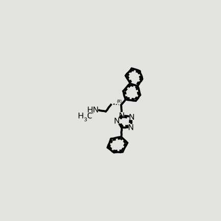 CNCC[C@H](c1ccc2ccccc2c1)n1nnc(-c2ccccc2)n1